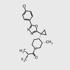 C[C@@H]1CN(C(=O)[C@H](C)C(F)(F)F)CC[C@@H]1C1(c2nnc(-c3ccc(Cl)cc3)o2)CC1